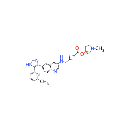 Cc1cccc(-c2[nH]cnc2-c2ccc3ncc(NCC4CC(C(=O)O[C@H]5CCN(C)C5)C4)cc3c2)n1